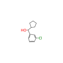 OC(c1cccc(Cl)c1)C1CCCC1